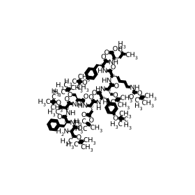 CC(C)C[C@H](NC(=O)[C@H](Cc1ccc(OC(C)(C)C)cc1)NC(=O)[C@H](CCCCNC(=O)OC(C)(C)C)NC(=O)[C@H](COC(C)(C)C)NC(=O)[C@H](Cc1ccc(OC(C)(C)C)cc1)NC(=O)[C@H](CC(=O)OC(C)(C)C)NC(=O)[C@H](COC(C)(C)C)NC(=O)[C@@H](NC(=O)[C@H](Cc1ccccc1)NC(=O)[C@@H](N)[C@@H](C)OC(C)(C)C)[C@@H](C)OC(C)(C)C)C(=O)O